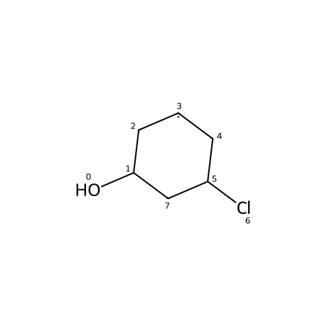 OC1C[CH]CC(Cl)C1